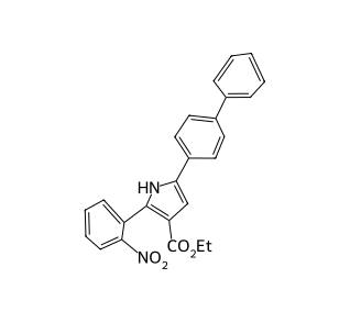 CCOC(=O)c1cc(-c2ccc(-c3ccccc3)cc2)[nH]c1-c1ccccc1[N+](=O)[O-]